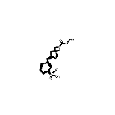 CC(C)(C)OC(=O)N1CC2(CC/C(=C\c3cccc(S(=O)(=O)C(F)(F)F)c3)C2)C1